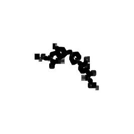 CCNC(=O)c1ccc(N2CCN(Cc3cc(F)c4c(c3)NC(=O)N(CC)C4)CC2)c(Cl)n1